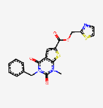 Cn1c(=O)n(Cc2ccccc2)c(=O)c2cc(C(=O)OCc3nccs3)sc21